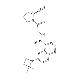 CC1(C)CCN1c1ccc2nccc(C(=O)NCC(=O)N3CSC[C@H]3C#N)c2c1